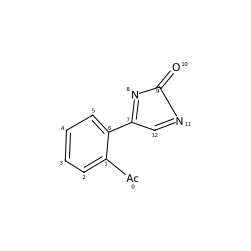 CC(=O)c1ccccc1C1=NC(=O)N=C1